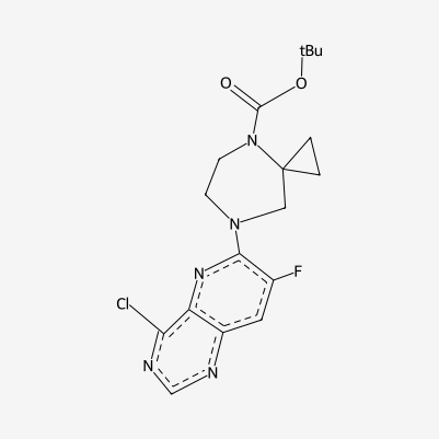 CC(C)(C)OC(=O)N1CCN(c2nc3c(Cl)ncnc3cc2F)CC12CC2